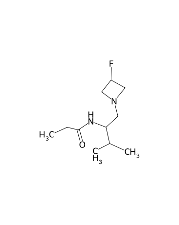 CCC(=O)NC(CN1CC(F)C1)C(C)C